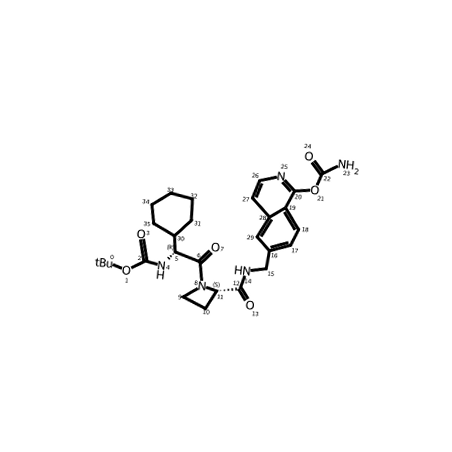 CC(C)(C)OC(=O)N[C@@H](C(=O)N1CC[C@H]1C(=O)NCc1ccc2c(OC(N)=O)nccc2c1)C1CCCCC1